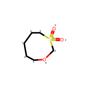 O=S1(=O)[C]OCCCCC1